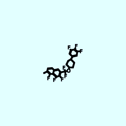 Cc1ccc2cc(C(F)(F)OC3CCC(c4cc(F)c(F)c(F)c4)CC3)c(F)c(F)c2c1F